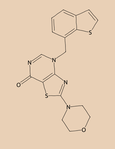 O=c1ncn(Cc2cccc3ccsc23)c2nc(N3CCOCC3)sc12